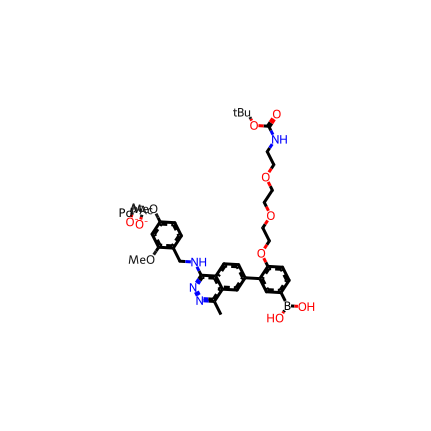 CC(=O)[O-].CC(=O)[O-].COc1ccc(CNc2nnc(C)c3cc(-c4cc(B(O)O)ccc4OCCOCCOCCNC(=O)OC(C)(C)C)ccc23)c(OC)c1.[Pd+2]